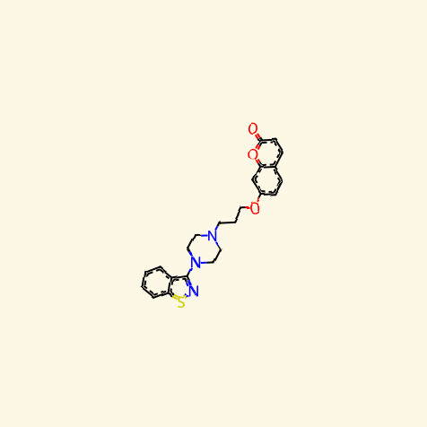 O=c1ccc2ccc(OCCCN3CCN(c4nsc5ccccc45)CC3)cc2o1